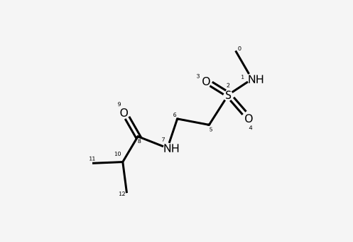 CNS(=O)(=O)CCNC(=O)C(C)C